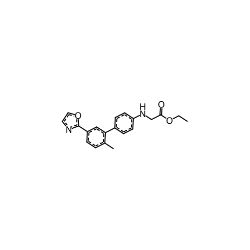 CCOC(=O)CNc1ccc(-c2cc(-c3ncco3)ccc2C)cc1